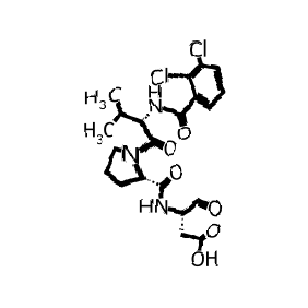 CC(C)[C@H](NC(=O)c1cccc(Cl)c1Cl)C(=O)N1CCC[C@H]1C(=O)N[C@H](C=O)CC(=O)O